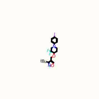 CC(C)(C)c1nocc1COC1CCN(c2ccc(I)cc2)CC1(F)F